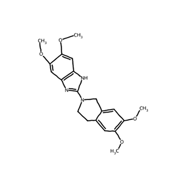 COc1cc2c(cc1OC)CN(c1nc3cc(OC)c(OC)cc3[nH]1)CC2